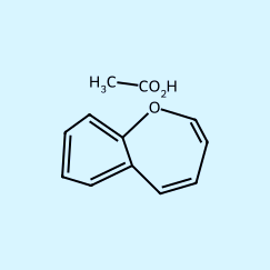 C1=COc2ccccc2C=C1.CC(=O)O